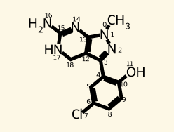 Cn1nc(-c2cc(Cl)ccc2O)c2c1N=C(N)NC2